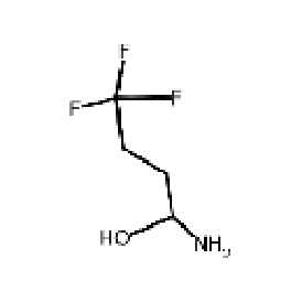 NC(O)CCC(F)(F)F